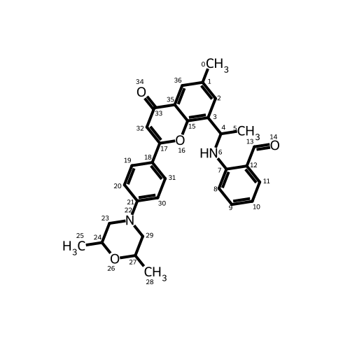 Cc1cc(C(C)Nc2ccccc2C=O)c2oc(-c3ccc(N4CC(C)OC(C)C4)cc3)cc(=O)c2c1